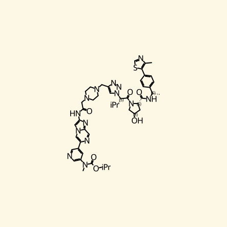 Cc1ncsc1-c1ccc([C@H](C)NC(=O)[C@@H]2C[C@@H](O)CN2C(=O)[C@H](C(C)C)n2cc(CN3CCN(CC(=O)Nc4cn5cc(-c6cncc(N(C)C(=O)OC(C)C)c6)ncc5n4)CC3)nn2)cc1